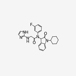 O=C1C(N(C(=O)CNc2ncc[nH]2)c2cccc(F)c2)c2ccccc2N1C1CCCCC1